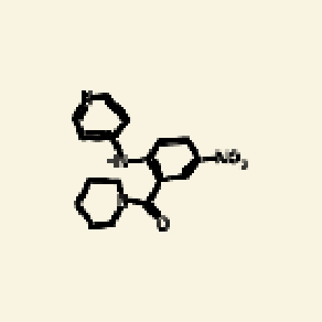 O=C(c1cc([N+](=O)[O-])ccc1Nc1ccncc1)N1CCCCC1